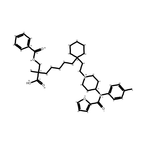 Cc1ccc(N(C(=O)c2ccco2)C2CCN(CCC3(CCCCCC(C)(COC(=O)c4ccccc4)C(=O)O)CCCCC3)CC2)cc1